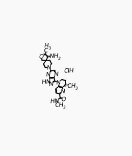 CNC(=O)c1ccc2c(n1)[C@@H](C)CCN2c1n[nH]c2nc(N3CCC4(CC3)CO[C@@H](C)[C@H]4N)cnc12.Cl